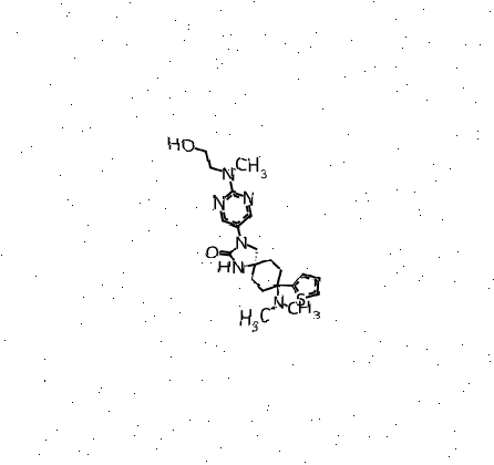 CN(CCO)c1ncc(N2C[C@]3(CC[C@](c4cccs4)(N(C)C)CC3)NC2=O)cn1